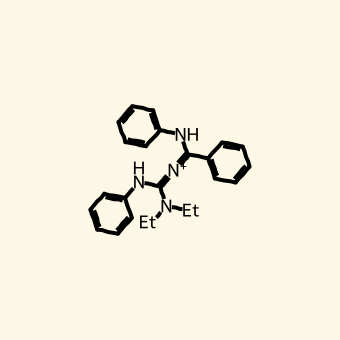 CCN(CC)C(=[N+]=C(Nc1ccccc1)c1ccccc1)Nc1ccccc1